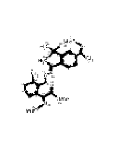 CO/N=C(/C)c1ccc(/C(C)=N/OCc2c(C)cccc2/C(=N\OC)C(=O)OC)c(C(C)(F)F)c1